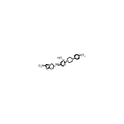 Cl.O=[N+]([O-])c1cn2c(n1)OC[C@@H](NCc1cnc(N3CCN(c4ccc(C(F)(F)F)cc4)CC3)nc1)C2